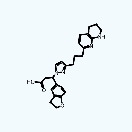 O=C(O)CC(c1ccc2c(c1)CCO2)n1ccc(CCCc2ccc3c(n2)NCCC3)n1